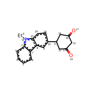 CCn1c2ccccc2c2cc(C3CC(=O)CC(=O)C3)ccc21